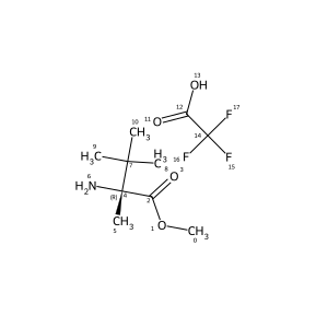 COC(=O)[C@](C)(N)C(C)(C)C.O=C(O)C(F)(F)F